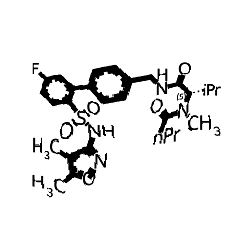 CCCC(=O)N(C)[C@H](C(=O)NCc1ccc(-c2cc(F)ccc2S(=O)(=O)Nc2noc(C)c2C)cc1)C(C)C